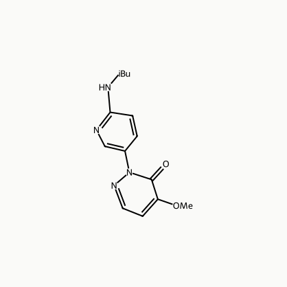 CCC(C)Nc1ccc(-n2nccc(OC)c2=O)cn1